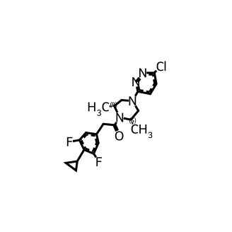 C[C@@H]1CN(c2ccc(Cl)nn2)C[C@H](C)N1C(=O)Cc1cc(F)c(C2CC2)c(F)c1